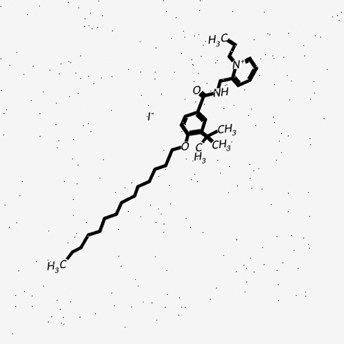 CCCCCCCCCCCCCCOc1ccc(C(=O)NCc2cccc[n+]2CCC)cc1C(C)(C)C.[I-]